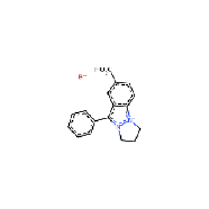 O=C(O)c1ccc2c(c1)c(-c1ccccc1)n1[n+]2CCC1.[Br-]